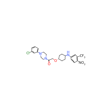 O=C(CO[C@H]1CC[C@H](Nc2ccc([N+](=O)[O-])c(C(F)(F)F)c2)CC1)N1CCN(c2cccc(Cl)c2)CC1